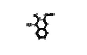 CN1c2ccccc2C=C(N=O)C1Br